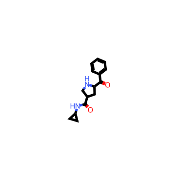 O=C(NC1CC1)C1CNC(C(=O)c2ccccc2)C1